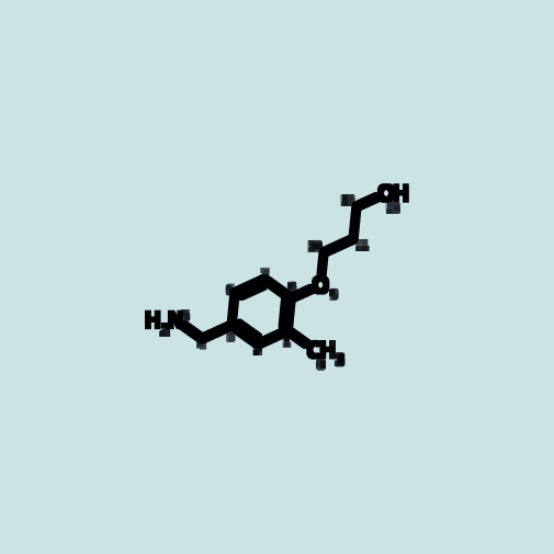 Cc1cc(CN)ccc1OCCCO